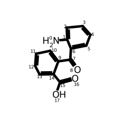 Nc1ccccc1C(=O)c1ccccc1C(=O)O